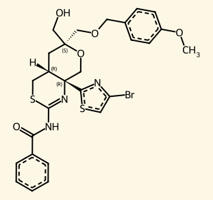 COc1ccc(COC[C@@]2(CO)C[C@H]3CSC(NC(=O)c4ccccc4)=N[C@@]3(c3nc(Br)cs3)CO2)cc1